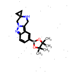 CC1(C)OB(c2ccc3nn4c(c3c2)CNC2(CC2)C4)OC1(C)C